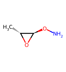 C[C@H]1O[C@@H]1ON